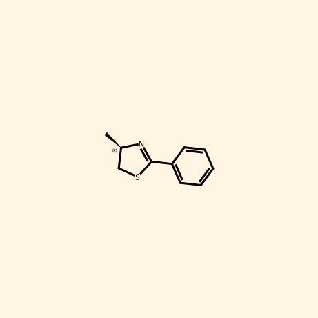 C[C@@H]1CSC(c2ccccc2)=N1